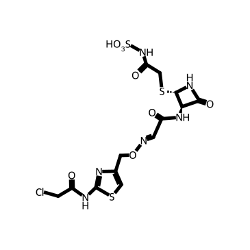 O=C(C=NOCc1csc(NC(=O)CCl)n1)N[C@@H]1C(=O)N[C@H]1SCC(=O)NS(=O)(=O)O